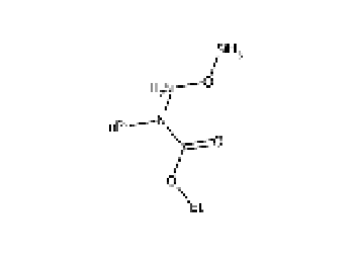 CCCN([SiH2]O[SiH3])C(=O)OCC